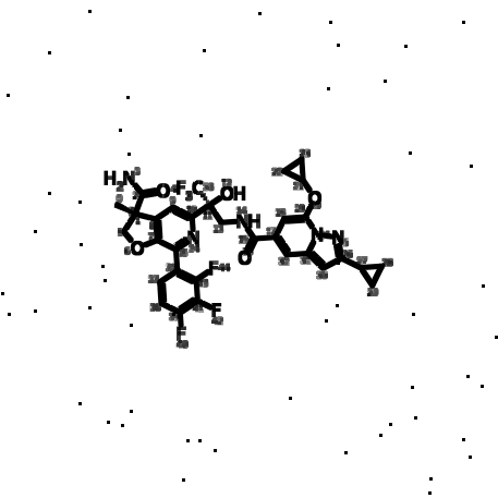 C[C@]1(C(N)=O)COc2c1cc([C@@](O)(CNC(=O)c1cc(OC3CC3)n3nc(C4CC4)cc3c1)C(F)(F)F)nc2-c1ccc(F)c(F)c1F